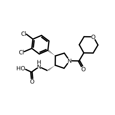 O=C(O)NC[C@H]1CN(C(=O)C2CCOCC2)C[C@H]1c1ccc(Cl)c(Cl)c1